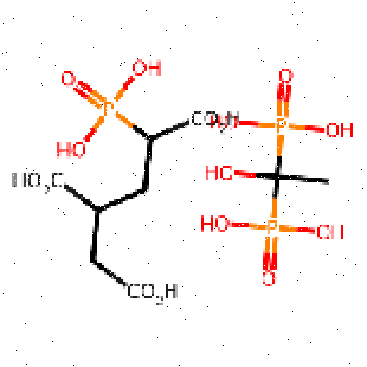 CC(O)(P(=O)(O)O)P(=O)(O)O.O=C(O)CC(CC(C(=O)O)P(=O)(O)O)C(=O)O